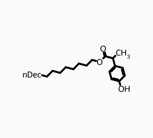 CCCCCCCCCCCCCCCCCCOC(=O)C(C)c1ccc(O)cc1